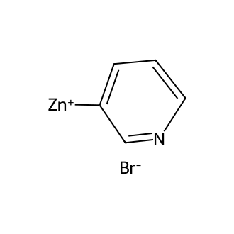 [Br-].[Zn+][c]1cccnc1